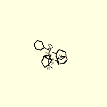 CC1(C)C2CC[C@@]1(C)[C@@H](c1ccccn1)[C@H]2P(=O)(C1CCCCC1)C1CCCCC1